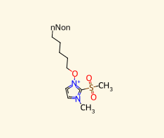 CCCCCCCCCCCCCCO[n+]1ccn(C)c1S(C)(=O)=O